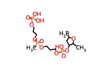 BC1CC(OP(=O)(O)OCCCOP(C)(=O)OCCCOP(=O)(O)O)C(C)O1